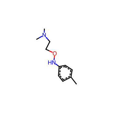 Cc1ccc(NOCCN(C)C)cc1